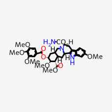 COC(=O)[C@H]1[C@H]2C[C@@H]3c4[nH]c5cc(OC)ccc5c4CCN3C[C@H]2C[C@@H](OC(=O)c2cc(OC)c(OC)c(OC)c2)[C@@H]1OC.NC(=O)O